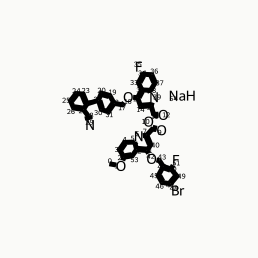 COc1ccc2nc(C(=O)OC(=O)c3cc(OCc4ccc(-c5ccccc5C#N)cc4)c4cc(F)ccc4n3)cc(OCc3ccc(Br)cc3F)c2c1.[NaH]